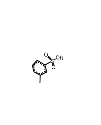 Cc1cccc(S(=O)(=O)O)c1